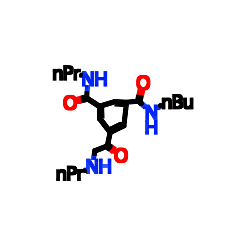 CCCCNC(=O)c1cc(C(=O)CNCCC)cc(C(=O)NCCC)c1